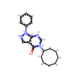 O=c1c2cnn(-c3ccccc3)c2ncn1C1CCCCCCC1